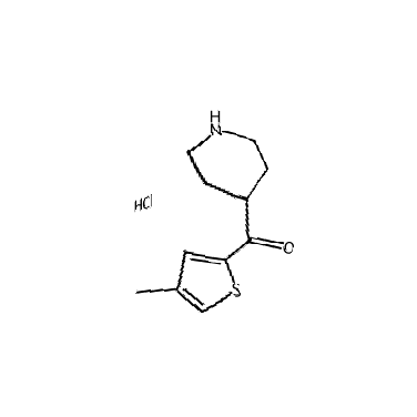 Cc1csc(C(=O)C2CCNCC2)c1.Cl